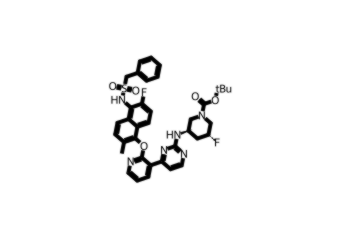 Cc1ccc2c(NS(=O)(=O)Cc3ccccc3)c(F)ccc2c1Oc1ncccc1-c1ccnc(N[C@@H]2C[C@@H](F)CN(C(=O)OC(C)(C)C)C2)n1